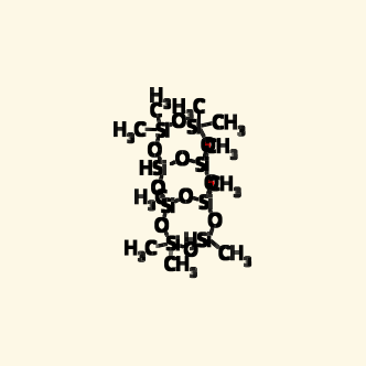 C[SiH]1O[Si](C)(C)O[Si]2(C)O[SiH]3O[Si](C)(C)O[Si](C)(C)O[Si](C)(O3)O[Si](C)(O1)O2